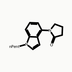 CCCCCn1ccc2c(N3CCCC3=O)cccc21